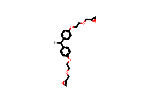 CCC(c1ccc(OCCOCC2CO2)cc1)c1ccc(OCCOCC2CO2)cc1